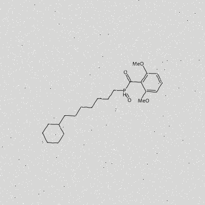 COc1cccc(OC)c1C(=O)[PH](=O)CCCCCCCC1CCCCC1